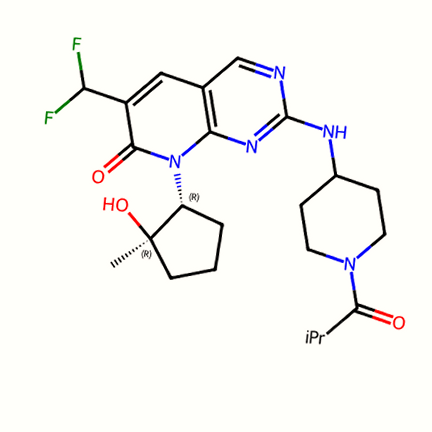 CC(C)C(=O)N1CCC(Nc2ncc3cc(C(F)F)c(=O)n([C@@H]4CCC[C@@]4(C)O)c3n2)CC1